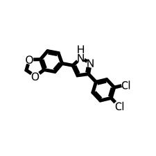 Clc1ccc(-c2cc(-c3ccc4c(c3)OCO4)[nH]n2)cc1Cl